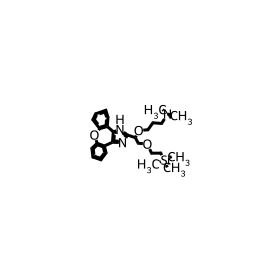 CN(C)CCCOC(COCC[Si](C)(C)C)c1nc2c([nH]1)-c1ccccc1Oc1ccccc1-2